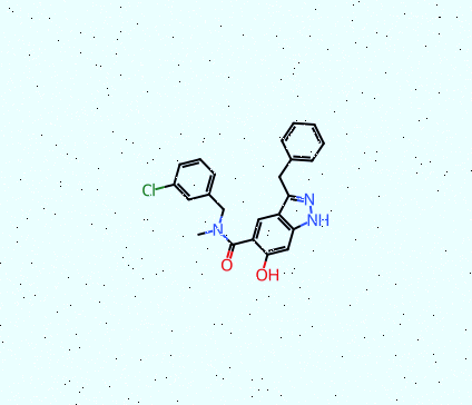 CN(Cc1cccc(Cl)c1)C(=O)c1cc2c(Cc3ccccc3)n[nH]c2cc1O